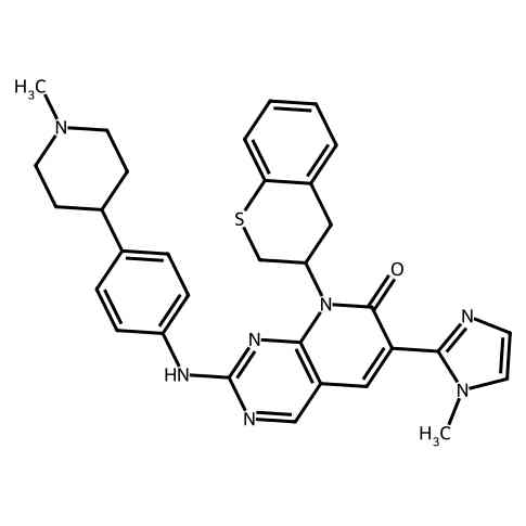 CN1CCC(c2ccc(Nc3ncc4cc(-c5nccn5C)c(=O)n(C5CSc6ccccc6C5)c4n3)cc2)CC1